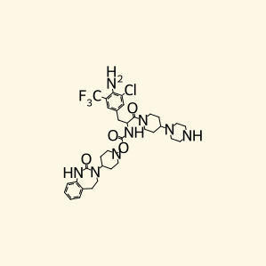 Nc1c(Cl)cc(CC(NC(=O)ON2CCC(N3CCc4ccccc4NC3=O)CC2)C(=O)N2CCC(N3CCNCC3)CC2)cc1C(F)(F)F